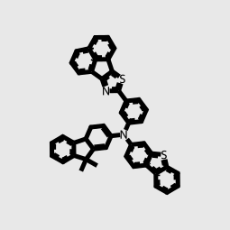 CC1(C)C2=CC(N(c3cccc(-c4nc5c(s4)-c4cccc6cccc-5c46)c3)c3ccc4c(c3)sc3ccccc34)=CCC2c2ccccc21